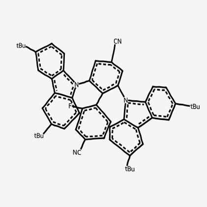 CC(C)(C)c1ccc2c(c1)c1cc(C(C)(C)C)ccc1n2-c1cc(C#N)cc(-n2c3ccc(C(C)(C)C)cc3c3cc(C(C)(C)C)ccc32)c1-c1ccc(C#N)cc1F